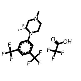 C[C@@H]1CN(C)CCN1c1cc(C(F)(F)F)cc(C(F)(F)F)c1.O=C(O)C(F)(F)F